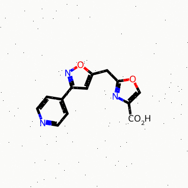 O=C(O)c1coc(Cc2cc(-c3ccncc3)no2)n1